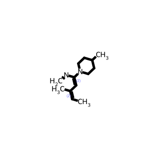 C=N/C(=C\C(C)=C/C)N1CCC(C)CC1